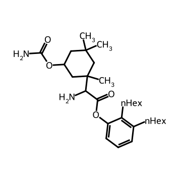 CCCCCCc1cccc(OC(=O)C(N)C2(C)CC(OC(N)=O)CC(C)(C)C2)c1CCCCCC